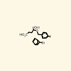 CCC1CC2C=CC1C2.CCCCCCCCC(CCC(=O)O)OCc1ccc(F)cc1